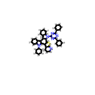 c1ccc(-c2nc(-c3ccccc3)nc(-n3c4ccccc4c4c5c6ccccc6n(-c6ccccc6)c5c5c6cccnc6sc5c43)n2)cc1